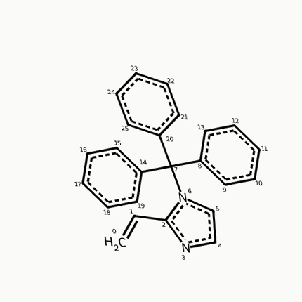 C=Cc1nccn1C(c1ccccc1)(c1ccccc1)c1ccccc1